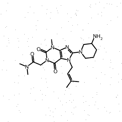 CC(C)=CCn1c(N2CCCC(N)C2)nc2c1c(=O)n(CC(=O)N(C)C)c(=O)n2C